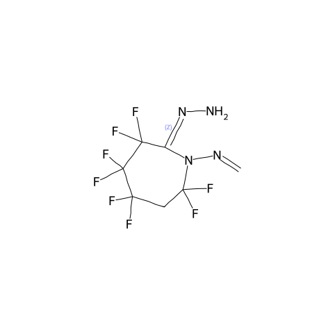 C=NN1/C(=N\N)C(F)(F)C(F)(F)C(F)(F)CC1(F)F